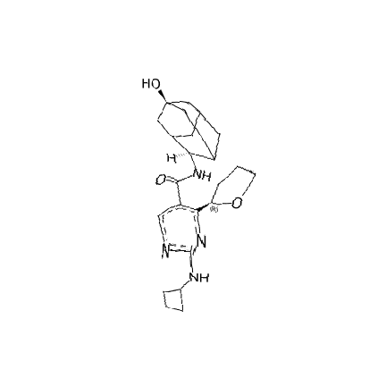 O=C(N[C@H]1C2CC3CC1C[C@@](O)(C3)C2)c1cnc(NC2CCC2)nc1[C@H]1CCCO1